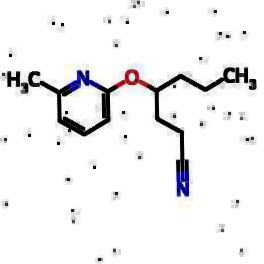 CCCC(CCC#N)Oc1cccc(C)n1